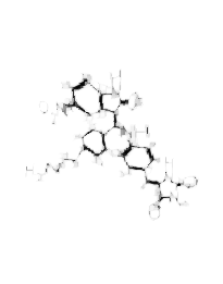 CN1C(=O)N/C(=C\c2ccc(N/C(=C3\C(=O)Nc4ccc([N+](=O)[O-])cc43)c3ccc(CCN)cc3)cc2)C1=O